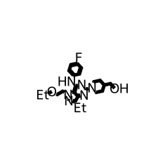 CCOCCn1nc(CC)c2nc(N3CCC(CO)CC3)nc(Nc3ccc(F)cc3)c21